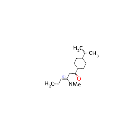 C=C/C=C(/CC(=O)C1CCC(C(=C)C)CC1)NC